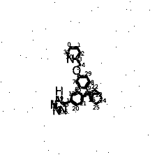 c1ccc(COc2ccc([C@@]3(c4ccc(-c5nnn[nH]5)cc4)CC4CCC3C4)cc2)nc1